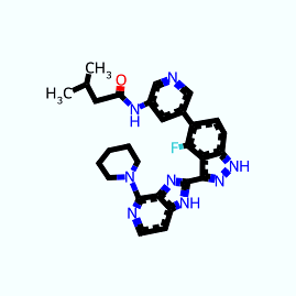 CC(C)CC(=O)Nc1cncc(-c2ccc3[nH]nc(-c4nc5c(N6CCCCC6)nccc5[nH]4)c3c2F)c1